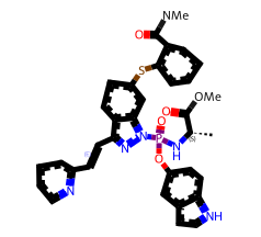 CNC(=O)c1ccccc1Sc1ccc2c(/C=C/c3ccccn3)nn(P(=O)(N[C@@H](C)C(=O)OC)Oc3ccc4[nH]ccc4c3)c2c1